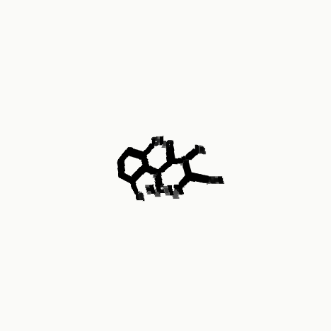 CCc1cccc(C)c1N(C)C(=O)N(CC)C(=N)N